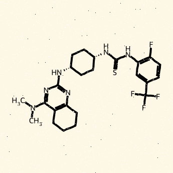 CN(C)c1nc(N[C@H]2CC[C@@H](NC(=S)Nc3cc(C(F)(F)F)ccc3F)CC2)nc2c1CCCC2